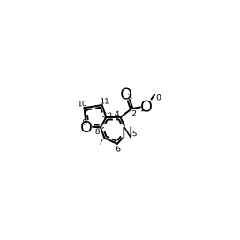 COC(=O)c1nccc2occc12